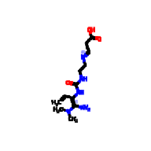 C=C/C(NC(=O)NCC/N=C/CC(=O)O)=C(/N)N(C)C